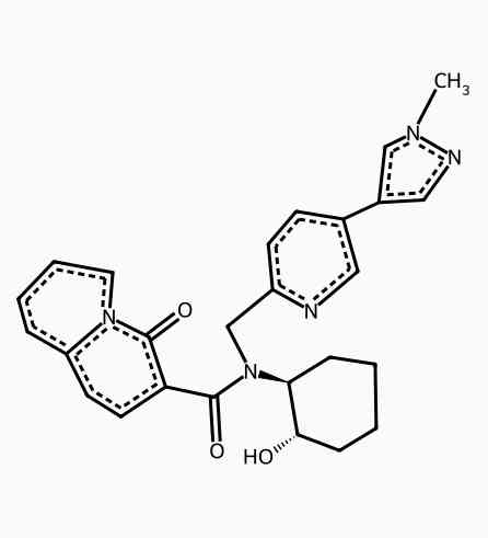 Cn1cc(-c2ccc(CN(C(=O)c3ccc4ccccn4c3=O)[C@H]3CCCC[C@@H]3O)nc2)cn1